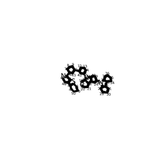 C1=Cc2sc3c(-c4cccc(-c5cccc(-n6c7ccccc7c7cc(-n8c9ccccc9c9ccccc98)ccc76)c5)c4)nccc3c2CC1